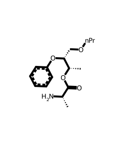 CCCOC[C@@H](Oc1ccccc1)[C@H](C)OC(=O)[C@H](C)N